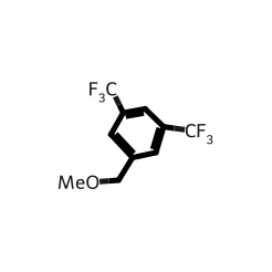 COCc1cc(C(F)(F)F)cc(C(F)(F)F)c1